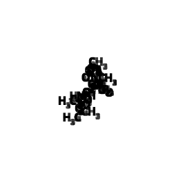 CC(=O)/C=C\N(C(C)=O)[C@@H]1O[C@H](CO[PH](=O)N[C@@H](C)C(=O)OC(C)C)[C@@H](OP=O)[C@@]1(C)F